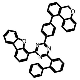 c1ccc(-c2ccccc2-c2nc(-c3ccc(-c4cccc5c4-c4ccccc4OC5)cc3)nc(-c3cccc4c3oc3ccccc34)n2)cc1